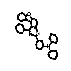 c1ccc(-c2nc(-c3cccc(N(c4ccccc4)c4ccccc4)c3)nc3ccc4oc5ccccc5c4c23)cc1